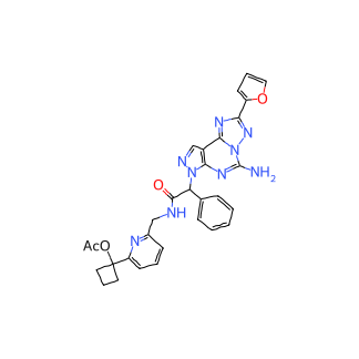 CC(=O)OC1(c2cccc(CNC(=O)C(c3ccccc3)n3ncc4c3nc(N)n3nc(-c5ccco5)nc43)n2)CCC1